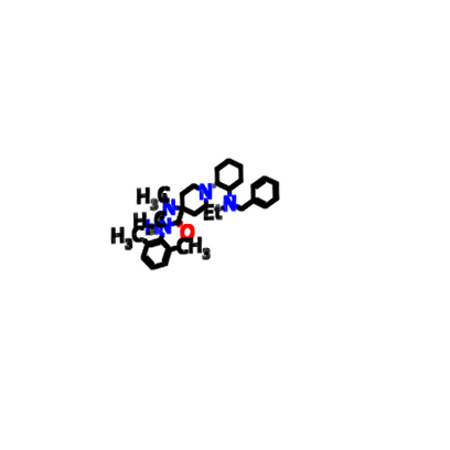 CCN(Cc1ccccc1)[C@@H]1CCCC[C@H]1N1CCC(C(=O)Nc2c(C)cccc2C)(N(C)C)CC1